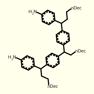 CCCCCCCCCCCCC(c1ccc(N)cc1)c1ccc(C(CCCCCCCCCCC)c2ccc(C(CCCCCCCCCCCC)c3ccc(N)cc3)cc2)cc1